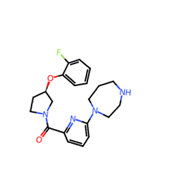 O=C(c1cccc(N2CCCNCC2)n1)N1CC[C@@H](Oc2ccccc2F)C1